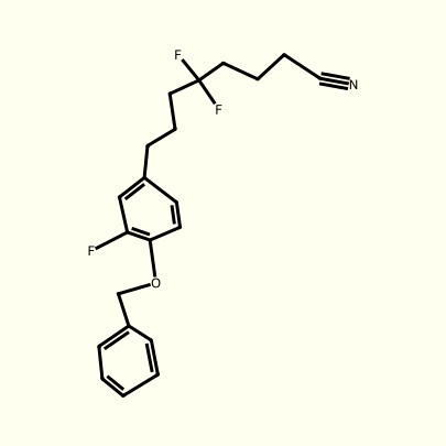 N#CCCCC(F)(F)CCCc1ccc(OCc2ccccc2)c(F)c1